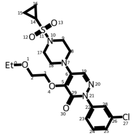 CCOCCOc1c(N2CCN(S(=O)(=O)C3CC3)CC2)cnn(-c2cccc(Cl)c2)c1=O